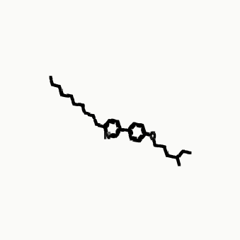 CCCCCCCCCCc1ccc(-c2ccc(OCCCC(C)CC)cc2)cn1